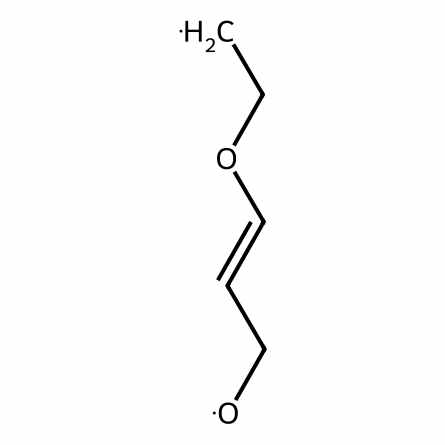 [CH2]COC=CC[O]